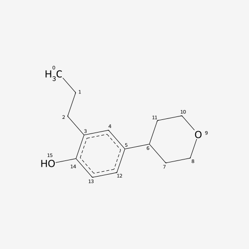 CCCc1cc(C2CCOCC2)ccc1O